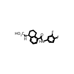 O=C(O)N[C@H]1CCCc2c(C(=O)Nc3ccc(F)c(F)c3)cccc21